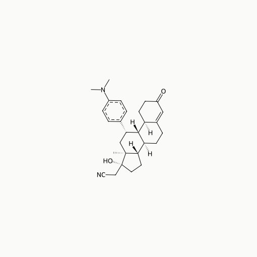 CN(C)c1ccc([C@H]2C[C@@]3(C)[C@@H](CC[C@@]3(O)CC#N)[C@@H]3CCC4=CC(=O)CC[C@@H]4[C@H]32)cc1